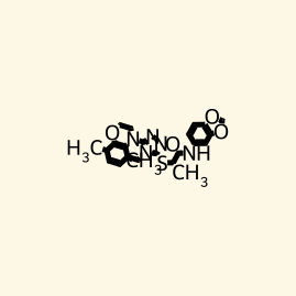 CC1C=CC2(C)Cn3c(SC(C)C(=O)Nc4ccc5c(c4)OCO5)nnc3N3CCOC1=C32